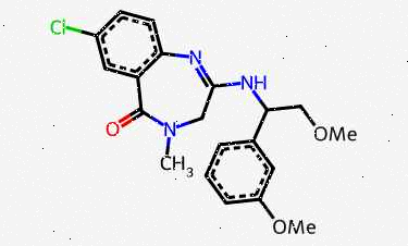 COCC(NC1=Nc2ccc(Cl)cc2C(=O)N(C)C1)c1cccc(OC)c1